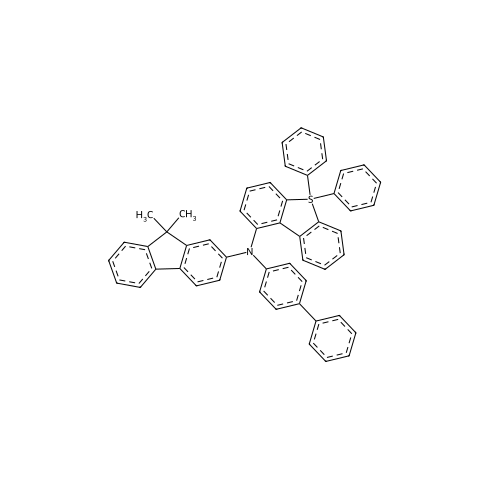 CC1(C)c2ccccc2-c2ccc(N(c3ccc(-c4ccccc4)cc3)c3cccc4c3-c3ccccc3S4(c3ccccc3)c3ccccc3)cc21